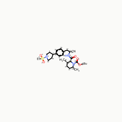 CCS(=O)(=O)N1CCC(c2ccc(C[C@@H](C#N)NC(=O)[C@@H]3[C@H](C)CC[C@H](C)N3C(=O)OC(C)(C)C)cc2)CC1